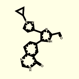 O=Cc1nc(-c2ccn(C3CC3)n2)c(-c2ccc3nc[nH]c(=O)c3c2)[nH]1